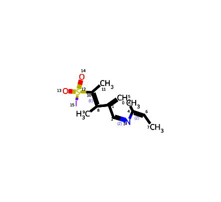 C=C(/C=N\C(C)=C/C)/C(C)=C(\C)S(=O)(=O)I